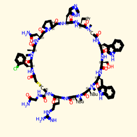 CCCC[C@H]1C(=O)N(C)[C@@H](CCCC)C(=O)N[C@@H](CCCNC(=N)N)C(=O)N[C@H](C(=O)NCC(N)=O)CSCC(=O)N[C@@H](Cc2ccccc2Cl)C(=O)N(C)[C@@H](C)C(=O)N[C@@H](CC(N)=O)C(=O)N2CCC[C@H]2C(=O)N[C@@H](Cc2cnc[nH]2)C(=O)N[C@@H](CC(C)C)C(=O)N(C)CC(=O)N[C@@H](Cc2c[nH]c3ccccc23)C(=O)N[C@@H](CO)C(=O)N[C@@H](Cc2c[nH]c3ccccc23)C(=O)N1C